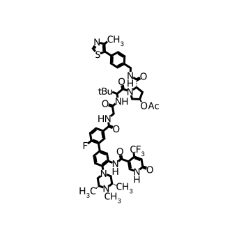 CC(=O)O[C@@H]1C[C@@H](C(=O)NCc2ccc(-c3scnc3C)cc2)N(C(=O)C(NC(=O)CNC(=O)c2ccc(F)c(-c3ccc(N4C[C@@H](C)N(C)[C@@H](C)C4)c(NC(=O)c4c[nH]c(=O)cc4C(F)(F)F)c3)c2)C(C)(C)C)C1